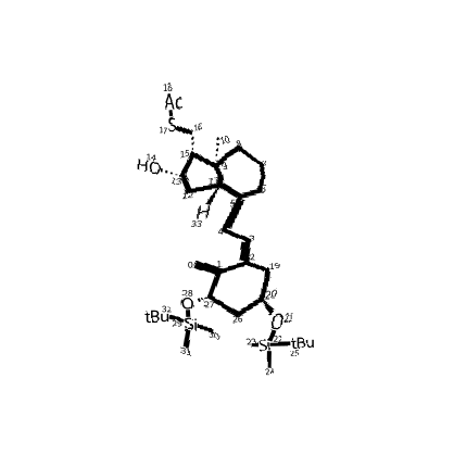 C=C1/C(=C\C=C2/CCC[C@@]3(C)[C@H]2C[C@H](O)[C@@H]3CSC(C)=O)C[C@@H](O[Si](C)(C)C(C)(C)C)C[C@@H]1O[Si](C)(C)C(C)(C)C